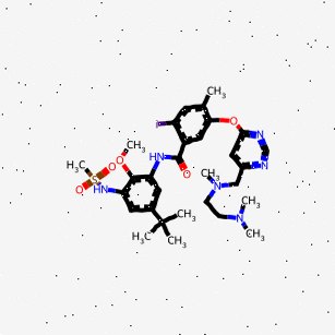 COc1c(NC(=O)c2cc(Oc3cc(CN(C)CCN(C)C)ncn3)c(C)cc2I)cc(C(C)(C)C)cc1NS(C)(=O)=O